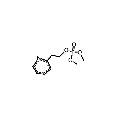 COP(=O)(OC)OCCc1ccccn1